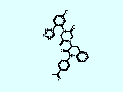 C=C1CN(c2cc(Cl)ccc2-n2cnnn2)C(=O)CN1C(Cc1ccccc1)C(=O)Nc1ccc(C(C)=O)cc1